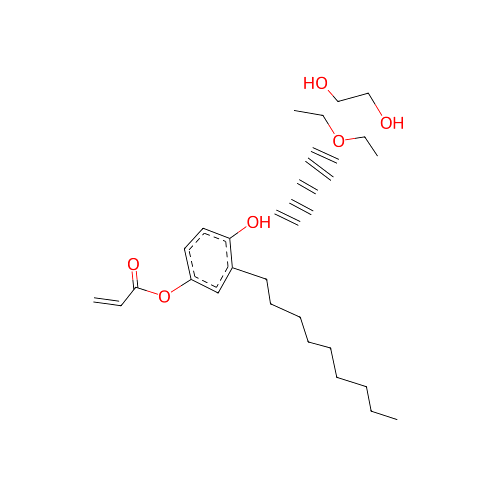 C=C.C=C.C=C.C=C.C=C.C=CC(=O)Oc1ccc(O)c(CCCCCCCCC)c1.CCOCC.OCCO